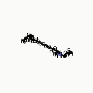 Cc1ncsc1-c1ccc(CNC(=O)[C@@H]2CCCN2C(=O)C(NC(=O)COCCOCCOCCOCCOCCOCCCCCC(=O)NCCCN(C)/C(=N\N=C\CNc2cccc(C(=O)NCc3c(F)cccc3F)c2)c2ccncn2)C(C)(C)C)cc1